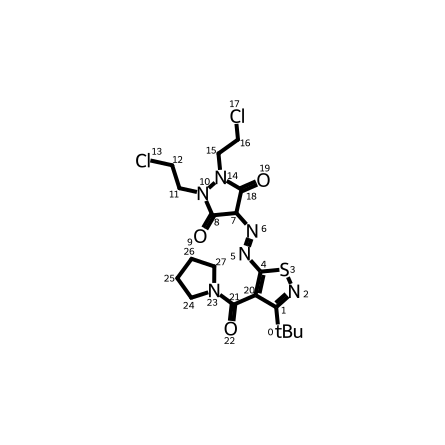 CC(C)(C)c1nsc(/N=N/C2C(=O)N(CCCl)N(CCCl)C2=O)c1C(=O)N1CCCC1